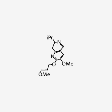 COCCCOc1nc2c(cc1OC)C=NC(C(C)C)C2